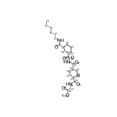 CCCCCCNC(=O)c1cccc(S(=O)(=O)NC(=O)c2ccc(C(=O)NCC(=O)OC)nc2)c1